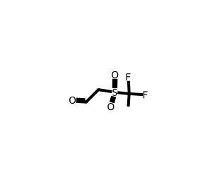 CC(F)(F)S(=O)(=O)CC=O